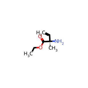 C=C[C@@](C)(N)C(=O)OCC